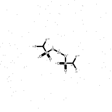 O=S(=O)([O][Zn][O]S(=O)(=O)C(F)F)C(F)F